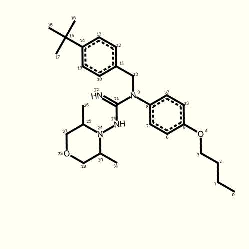 CCCCOc1ccc(N(Cc2ccc(C(C)(C)C)cc2)C(=N)NN2C(C)COCC2C)cc1